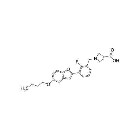 CCCCOc1ccc2oc(-c3cccc(CN4CC(C(=O)O)C4)c3F)cc2c1